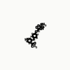 CC(=O)N1CCNC[C@H]1Cc1ccc(OCC(=O)NS(C)(=O)=O)cc1